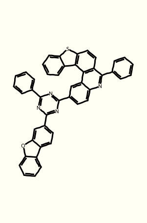 c1ccc(-c2nc(-c3ccc4c(c3)oc3ccccc34)nc(-c3ccc4nc(-c5ccccc5)c5ccc6sc7ccccc7c6c5c4c3)n2)cc1